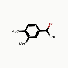 COc1ccc(C(Br)C=O)cc1OC